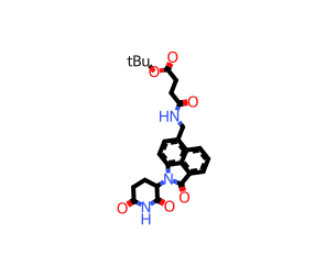 CC(C)(C)OC(=O)CCC(=O)NCc1ccc2c3c(cccc13)C(=O)N2C1CCC(=O)NC1=O